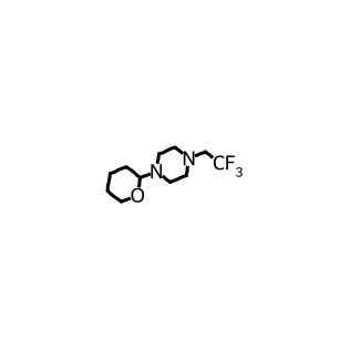 FC(F)(F)CN1CCN(C2CCCCO2)CC1